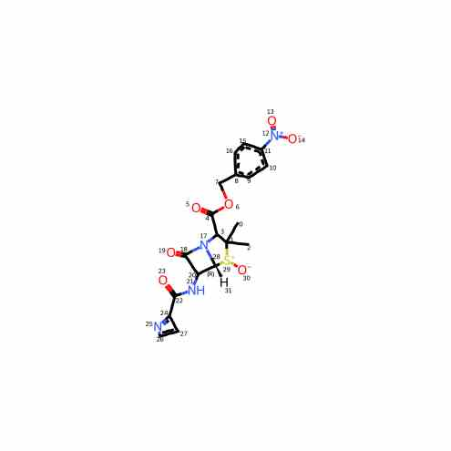 CC1(C)C(C(=O)OCc2ccc([N+](=O)[O-])cc2)N2C(=O)C(NC(=O)C3=NC=C3)[C@H]2[S+]1[O-]